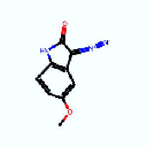 COc1ccc2c(c1)C(=[N+]=[N-])C(=O)N2